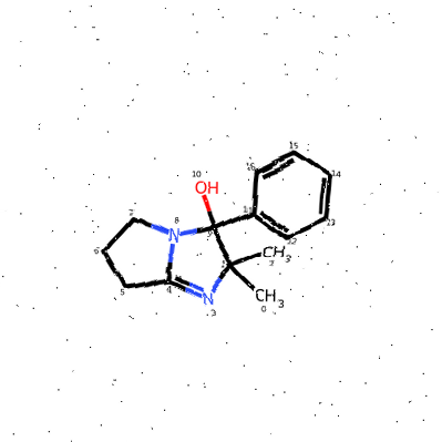 CC1(C)N=C2CCCN2C1(O)c1ccccc1